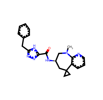 CN1C[C@H](NC(=O)c2nnc(Cc3ccccc3)[nH]2)CC2(CC2)c2cccnc21